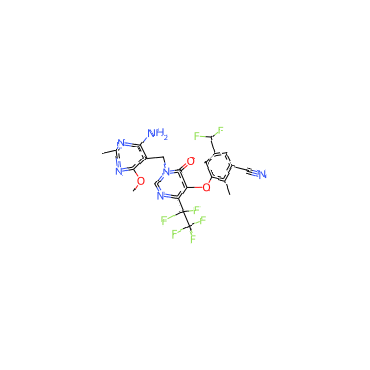 COc1nc(C)nc(N)c1Cn1cnc(C(F)(F)C(F)(F)F)c(Oc2cc(C(F)F)cc(C#N)c2C)c1=O